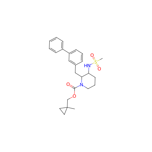 CC1(COC(=O)N2CCCC(NS(C)(=O)=O)C2Cc2cccc(-c3ccccc3)c2)CC1